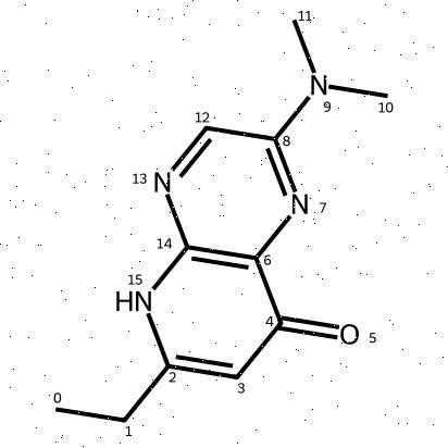 CCc1cc(=O)c2nc(N(C)C)cnc2[nH]1